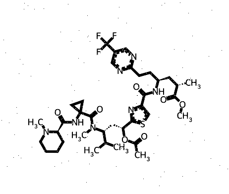 COC(=O)[C@@H](C)C[C@H](CCc1ncc(C(F)(F)F)cn1)NC(=O)c1csc([C@@H](C[C@H](C(C)C)N(C)C(=O)C2(NC(=O)[C@H]3CCCCN3C)CC2)OC(C)=O)n1